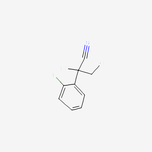 CCC(C)(C#N)c1ccccc1F